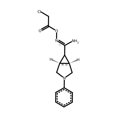 N/C(=N\OC(=O)CCl)C1[C@H]2CN(c3ccccc3)C[C@@H]12